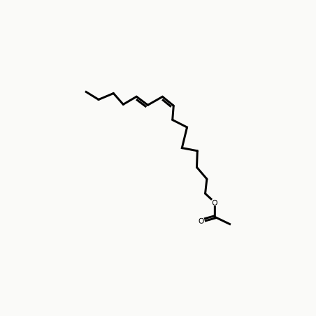 CCCC/C=C/C=C\CCCCCCCOC(C)=O